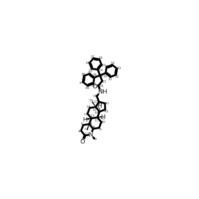 CN1C(=O)CC[C@@]2(C)C1CC[C@@H]1[C@H]2CC[C@]2(C)C(CNC(=O)CC(c3ccccc3)(c3ccccc3)c3ccccc3)CC[C@@H]12